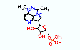 CC1=NN(C)c2ccnc3c2[N+]1=CC3[C@@H]1O[C@H](COP(=O)(O)O)[C@@H](O)[C@H]1O